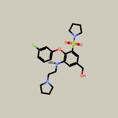 CCCCN(CCN1CCCC1)c1cc(CO)cc(S(=O)(=O)N2CCCC2)c1Oc1cccc(F)c1